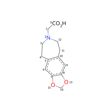 O=C(O)CN1CCc2cc3c(cc2CC1)OCO3